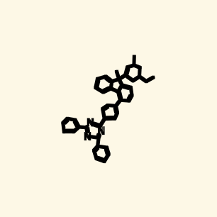 CCC1CC(C2(C)c3ccccc3-c3c(-c4ccc(-c5nc(-c6ccccc6)nc(-c6ccccc6)n5)cc4)cccc32)=CC(C)C1